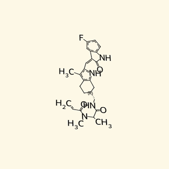 C=CC(=O)N(C)C(C)C(=O)NC[C@@H]1CCc2c([nH]c(C=C3C(=O)Nc4ccc(F)cc43)c2C)C1